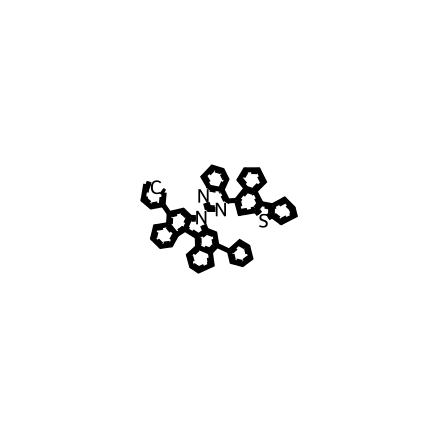 c1ccc(-c2cc3c(c4ccccc24)c2c4ccccc4c(-c4ccccc4)cc2n3-c2nc(-c3cc4sc5ccccc5c4c4ccccc34)c3ccccc3n2)cc1